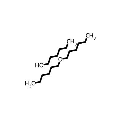 CCCCCCO.CCCCCCOCCCCCC